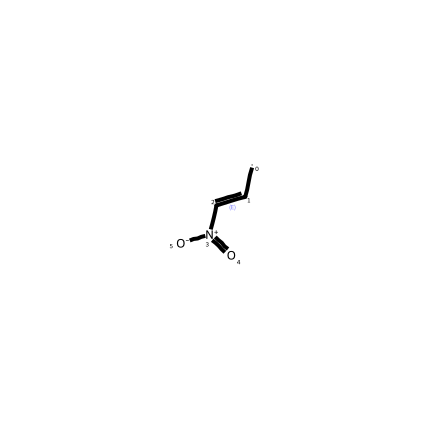 [CH2]/C=C/[N+](=O)[O-]